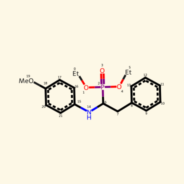 CCOP(=O)(OCC)C(Cc1ccccc1)Nc1ccc(OC)cc1